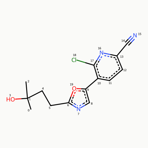 CC(C)(O)CCc1ncc(-c2ccc(C#N)nc2Cl)o1